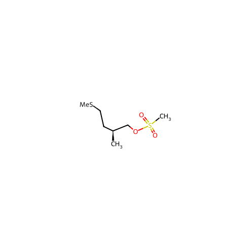 CSCC[C@H](C)COS(C)(=O)=O